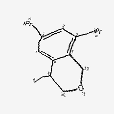 CC(C)c1cc(C(C)C)c2c(c1)C(C)COC2